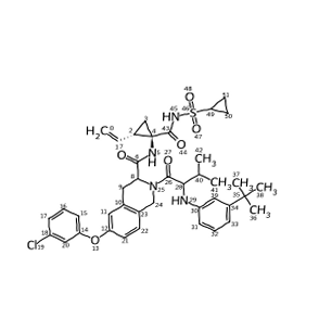 C=C[C@@H]1C[C@]1(NC(=O)C1Cc2cc(Oc3cccc(Cl)c3)ccc2CN1C(=O)C(Nc1cccc(C(C)(C)C)c1)C(C)C)C(=O)NS(=O)(=O)C1CC1